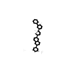 Cc1cc(-c2ccc3cc(-c4ccc(-c5ccc6oc7ccccc7c6c5)nc4)ccc3c2)cc(C(F)(F)F)c1